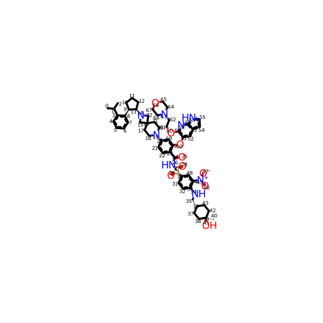 CC(C)c1ccccc1[C@H]1CCC[C@H]1N1CC2(CCN(c3ccc(C(=O)NS(=O)(=O)c4ccc(NC[C@H]5CC[C@](C)(O)CC5)c([N+](=O)[O-])c4)c(Oc4cc5cc[nH]c5nc4OCCN4CCOCC4)c3)CC2)C1